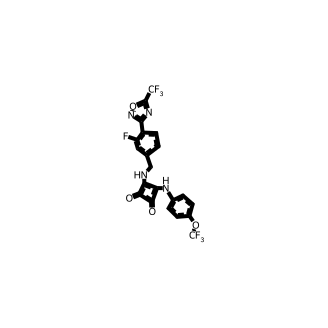 O=c1c(NCc2ccc(-c3noc(C(F)(F)F)n3)c(F)c2)c(Nc2ccc(OC(F)(F)F)cc2)c1=O